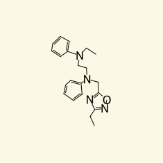 CCc1noc(CN(CCN(CC)c2ccccc2)c2ccccc2)n1